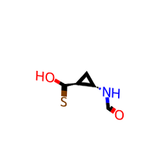 O=CN[C@H]1C[C@@H]1C(O)=S